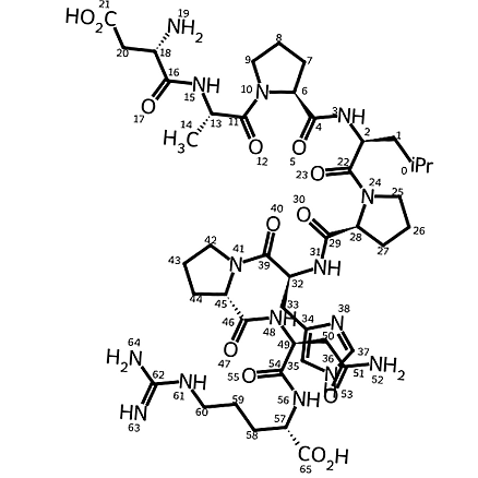 CC(C)C[C@H](NC(=O)[C@@H]1CCCN1C(=O)[C@H](C)NC(=O)[C@@H](N)CC(=O)O)C(=O)N1CCC[C@H]1C(=O)N[C@@H](Cc1c[nH]cn1)C(=O)N1CCC[C@H]1C(=O)N[C@@H](CC(N)=O)C(=O)N[C@@H](CCCNC(=N)N)C(=O)O